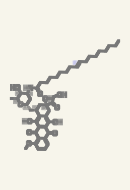 CCCCCCCC/C=C/CCCCCCCC(=O)N[C@H]1C[C@H](C[C@H]2C[C@](O)(C(=O)CO)Cc3c(O)c4c(c(O)c32)C(=O)c2c(OC)cccc2C4=O)O[C@@H](C)[C@H]1O